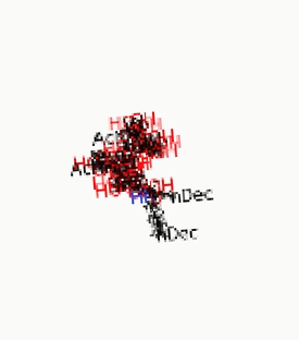 CCCCCCCCCCCCC/C=C/[C@@H](O)[C@H](CO[C@@H]1OC(CO)[C@@H](O[C@@H]2OC(CO)[C@H](O)[C@H](O[C@@H]3OC(CO)[C@@H](O[C@@H]4OC(CO)[C@H](O)[C@H](O[C@@H]5OC(CO)[C@@H](O[C@H]6OC(C)[C@@H](O)C(O)[C@@H]6O)[C@H](O[C@@H]6OC(CO)[C@H](O)[C@H](O)C6O)C5NC(C)=O)C4O)[C@H](O[C@H]4OC(C)[C@@H](O)C(O)[C@@H]4O)C3NC(C)=O)C2O)[C@H](O)C1O)NC(=O)CCCCCCCCCCCCCCCCCCC